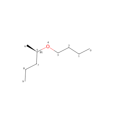 CCCCO[C@H](C)CCC